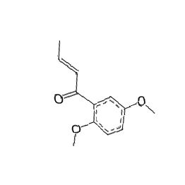 C/C=C/C(=O)c1cc(OC)ccc1OC